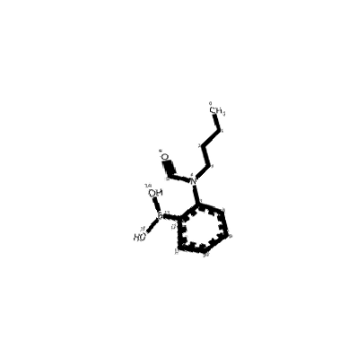 CCCCN(C=O)c1ccccc1B(O)O